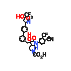 N#Cc1ccc(NC(=O)C(O)(Cc2cccc(-c3ccc(C4=NOC(O)(C(F)(F)F)C4)cc3)c2)C2CCN(C(=O)O)CC2)cc1C(F)(F)F